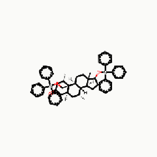 C[C@@H]1C[C@H]2CC(=O)C[C@H](C)[C@]2(CO[Si](c2ccccc2)(c2ccccc2)c2ccccc2)[C@H]2CC[C@]3(C)[C@@H](O[Si](c4ccccc4)(c4ccccc4)c4ccccc4)CC[C@H]3[C@H]12